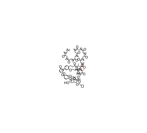 CC(=O)CN(C)C(=O)CN(C)C(=O)CN(C)C(=O)CN(C)C(=O)CN(C)C(=O)CN(C)C(=O)CN(C)C(=O)CN(C)C(=O)CN(C)C(=O)CN(C)C(=O)CCCOc1cc(N2C(=O)C=CC2=O)ccc1CCC(=O)N[C@@H](C)C(=O)N[C@@H](C)C(=O)NCOCC(=O)[C@@]12O[C@H](C3CCC3)O[C@@H]1C[C@H]1[C@@H]3CCC4=CC(=O)C=C[C@]4(C)[C@@]3(F)[C@@H](O)C[C@@]12C